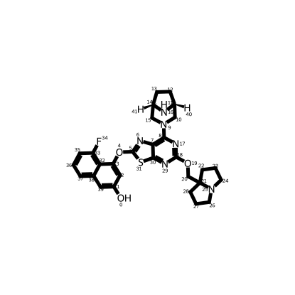 Oc1cc(Oc2nc3c(N4C[C@H]5CC[C@@H](C4)N5)nc(OCC45CCCN4CCC5)nc3s2)c2c(F)cccc2c1